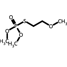 COCCSP(=O)(OC)OC